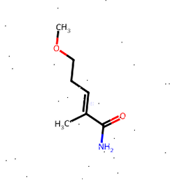 COCC/C=C(\C)C(N)=O